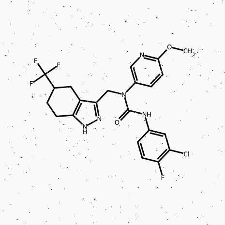 COc1ccc(N(Cc2n[nH]c3c2CC(C(F)(F)F)CC3)C(=O)Nc2ccc(F)c(Cl)c2)cn1